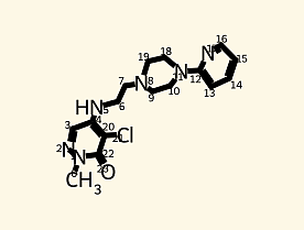 Cn1ncc(NCCN2CCN(c3ccccn3)CC2)c(Cl)c1=O